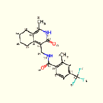 Cc1cc(C(F)(F)F)ccc1C(=O)NCc1c2c(c(C)[nH]c1=O)CCCC2